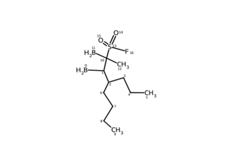 BC(C(CCC)CCCC)C(B)(C)S(=O)(=O)F